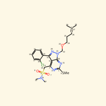 CSc1nc(CS(=O)(=O)N(C)C)c2c(-c3ccccc3Cl)nn(COCCC[SiH](C)C)c2n1